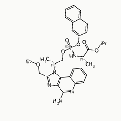 CCOCc1nc2c(N)nc3ccccc3c2n1[C@H](C)CO[P@@](=O)(N[C@@H](C)C(=O)OC(C)C)Oc1ccc2ccccc2c1